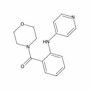 O=C(c1ccccc1Nc1ccncc1)N1CCOCC1